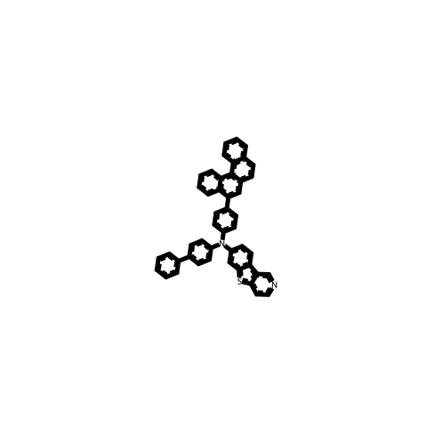 c1ccc(-c2ccc(N(c3ccc(-c4cc5ccc6ccccc6c5c5ccccc45)cc3)c3ccc4c(c3)sc3ccncc34)cc2)cc1